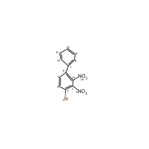 O=[N+]([O-])c1c(Br)ccc(-c2ccccc2)c1[N+](=O)[O-]